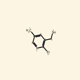 CCc1ncc(C)cc1CS